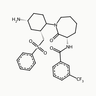 N[C@@H]1CCC(N2CCCC[C@H](NC(=O)c3cccc(C(F)(F)F)c3)C2=O)[C@H](CS(=O)(=O)c2ccccc2)C1